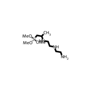 CO[Si](CC(C)NCCNCCN)(OC)OC